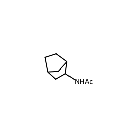 CC(=O)NC1CC2CCC1C2